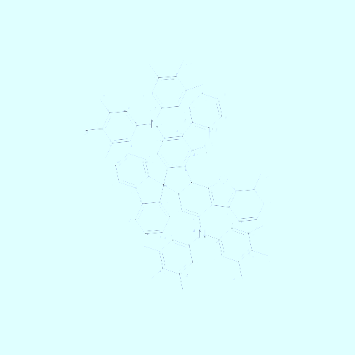 Cc1cc(N(C2=CC3C(c4oc5c(c42)C=CCC5C)c2c(cc(N(c4cc(C)c(C)c(C)c4)c4cc(C)c(C)c(C)c4)c4c5c(oc24)C=CCC5)C32c3ccccc3-c3ccccc32)c2cc(C)c(C)c(C)c2)cc(C)c1C